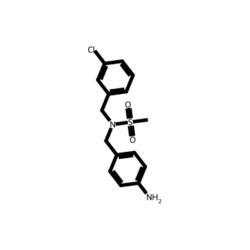 CS(=O)(=O)N(Cc1ccc(N)cc1)Cc1cccc(Cl)c1